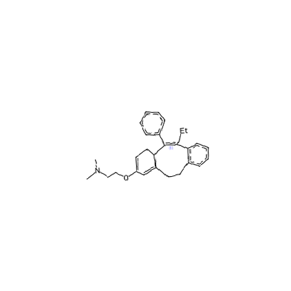 CC/C1=C(\c2ccccc2)C2CC=C(OCCN(C)C)C=C2CCc2ccccc21